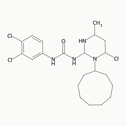 CC1CC(Cl)N(C2CCCCCCCC2)C(NC(=O)Nc2ccc(Cl)c(Cl)c2)N1